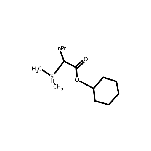 CCCC(C(=O)OC1CCCCC1)[SiH](C)C